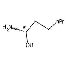 CCCCC[C@@H](N)O